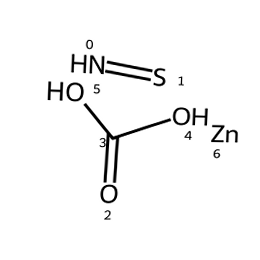 N=S.O=C(O)O.[Zn]